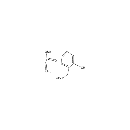 C=CC(=O)OC.CCCCCCCCCc1ccccc1O